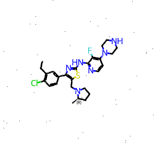 CCc1cc(-c2nc(Nc3nccc(N4CCNCC4)c3F)sc2CN2CCC[C@H]2C)ccc1Cl